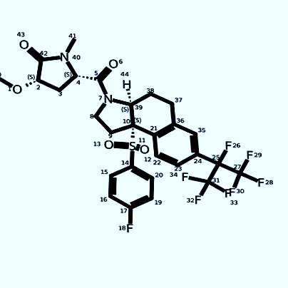 CO[C@H]1C[C@@H](C(=O)N2CC[C@]3(S(=O)(=O)c4ccc(F)cc4)c4ccc(C(F)(C(F)(F)F)C(F)(F)F)cc4CC[C@H]23)N(C)C1=O